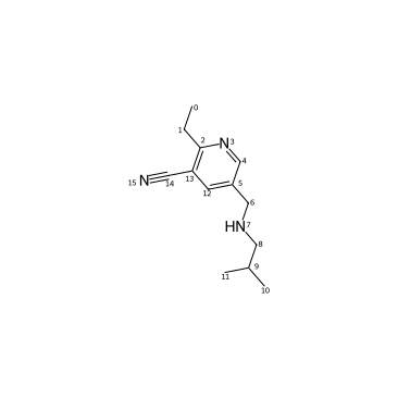 CCc1ncc(CNCC(C)C)cc1C#N